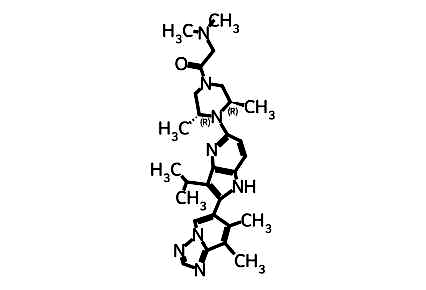 Cc1c(-c2[nH]c3ccc(N4[C@H](C)CN(C(=O)CN(C)C)C[C@H]4C)nc3c2C(C)C)cn2ncnc2c1C